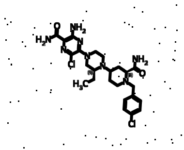 CC[C@H]1CN(c2nc(N)c(C(N)=O)nc2Cl)CCN1C1CCN(Cc2ccc(Cl)cc2)[C@H](C(N)=O)C1